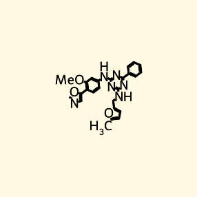 COc1cc(Nc2nc(NCc3ccc(C)o3)nc(-c3ccccc3)n2)ccc1-c1cnco1